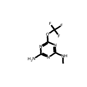 CNc1nc(N)nc(OC(F)(F)F)n1